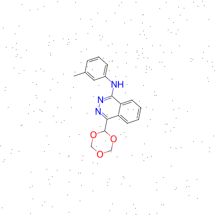 Cc1cccc(Nc2nnc(C3OCOCO3)c3ccccc23)c1